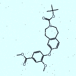 COC(=O)c1ccc(Oc2ccc3c(c2)CCN(C(=O)OC(C)(C)C)CC3)c(OC)c1